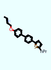 C/C=C/COc1ccc(-c2ccc(-c3ccc(CCC)s3)cc2)cc1